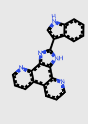 c1ccc2c(-c3nc4c5ncccc5c5cccnc5c4[nH]3)c[nH]c2c1